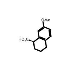 COc1ccc2c(c1)[C@H](C(=O)O)CCC2